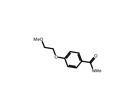 CNC(=O)c1ccc(OCCOC)cc1